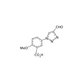 COc1ccc(-n2cc(C=O)nn2)cc1C(=O)O